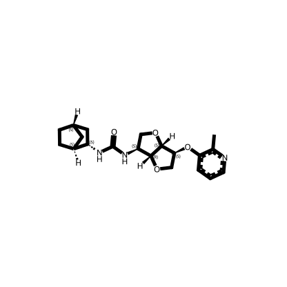 Cc1ncccc1O[C@H]1CO[C@H]2[C@@H]1OC[C@@H]2NC(=O)N[C@H]1C[C@H]2CC[C@H]1C2